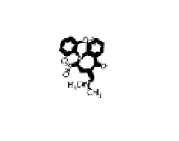 Cc1ccccc1N1C(=S(=O)=O)CC(=CN(C)C)C(=O)c2ccccc21